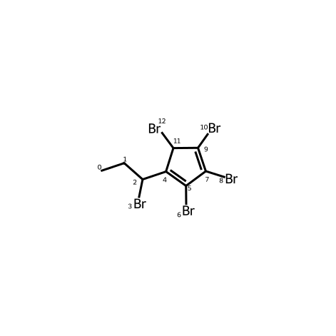 CCC(Br)C1=C(Br)C(Br)=C(Br)C1Br